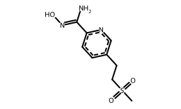 CS(=O)(=O)CCc1ccc(C(N)=NO)nc1